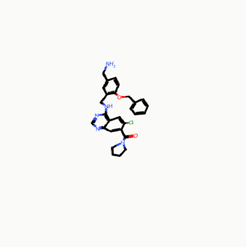 NCc1ccc(OCc2ccccc2)c(CNc2ncnc3cc(C(=O)N4CCCC4)c(Cl)cc23)c1